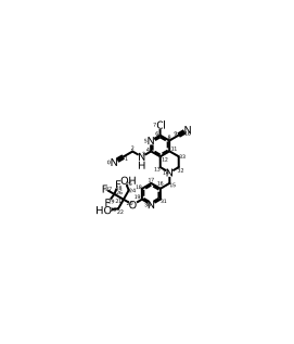 N#CCNc1nc(Cl)c(C#N)c2c1CN(Cc1ccc(OC(CO)(CO)C(F)(F)F)nc1)CC2